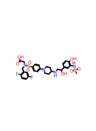 CS(=O)(=O)Nc1cc(C(O)CNC2CCN(c3ccc(S(=O)(=O)N(CC(=O)O)Cc4cc(F)ccc4F)cc3)CC2)ccc1O